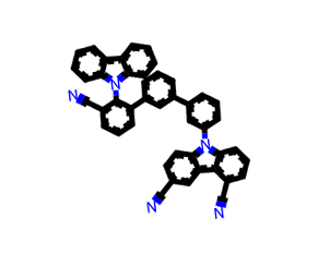 N#Cc1ccc2c(c1)c1c(C#N)cccc1n2-c1cccc(-c2cccc(-c3cccc(C#N)c3-n3c4ccccc4c4ccccc43)c2)c1